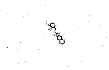 COc1ccnc(CSc2nc3cc4c(cc3[nH]2)OCCO4)c1OC